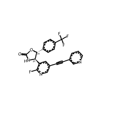 O=C1N[C@H](c2cc(C#Cc3cccnc3)cnc2F)[C@@H](c2ccc(C(F)(F)F)cc2)O1